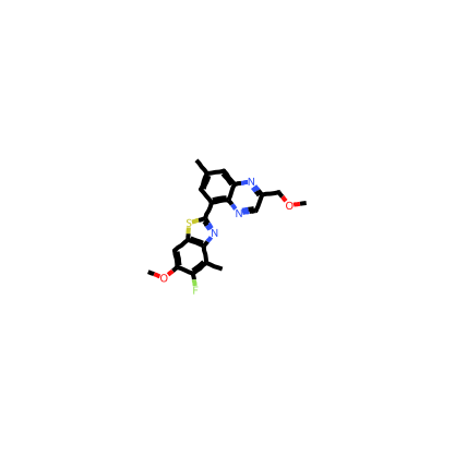 COCc1cnc2c(-c3nc4c(C)c(F)c(OC)cc4s3)cc(C)cc2n1